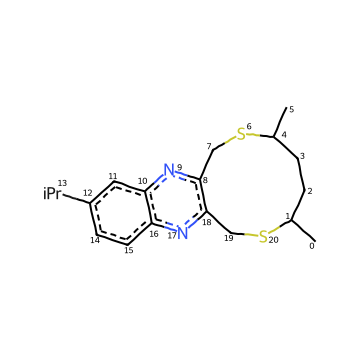 CC1CCC(C)SCc2nc3cc(C(C)C)ccc3nc2CS1